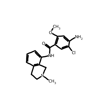 COc1cc(N)c(Cl)cc1C(=O)Nc1cccc2c1CN(C)CC2